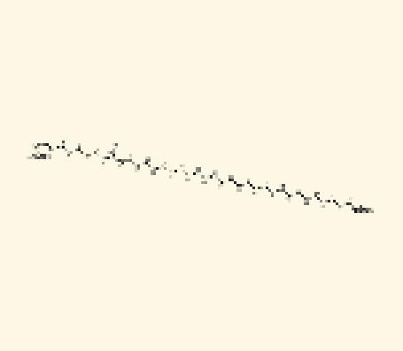 CCCCCCCC/C=C\CCCCCCCC(=O)OCCCCCCCCCCCCCCCCCCCCCCCCCCCCCCCCCCCCC